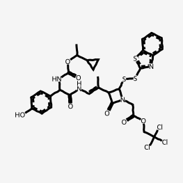 CC(=CNC(=O)C(NC(=O)OC(C)C1CC1)c1ccc(O)cc1)C1C(=O)N(CC(=O)OCC(Cl)(Cl)Cl)C1SSc1nc2ccccc2s1